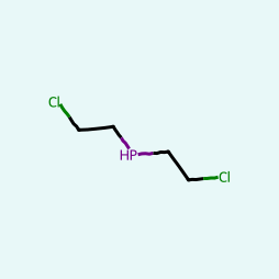 ClCCPCCCl